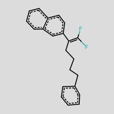 FC(F)=C(CCCCc1ccccc1)c1ccc2ccccc2c1